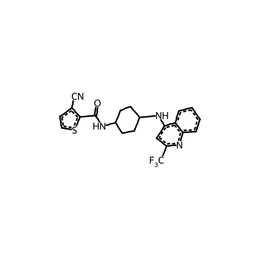 N#Cc1ccsc1C(=O)NC1CCC(Nc2cc(C(F)(F)F)nc3ccccc23)CC1